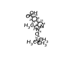 Cc1cn(COCC[Si](C)(C)C)c2nccc(-c3ccc(C(=O)O)cc3)c12